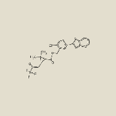 CC1(C)C(/C=C(\Cl)C(F)(F)F)C1C(=O)OCc1cc(-c2cc3ccccc3s2)ccc1Cl